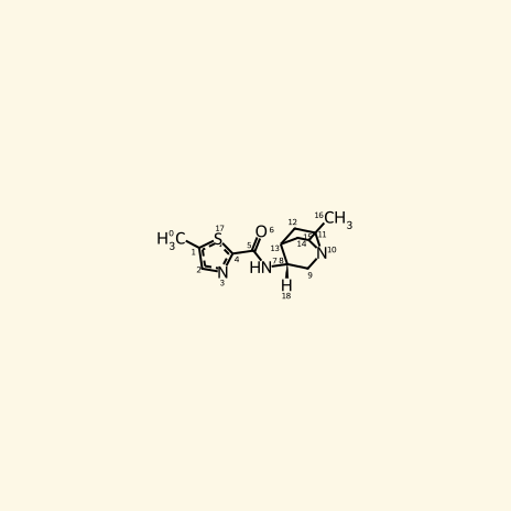 Cc1cnc(C(=O)N[C@H]2CN3CCC2CC3C)s1